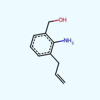 C=CCc1cccc(CO)c1N